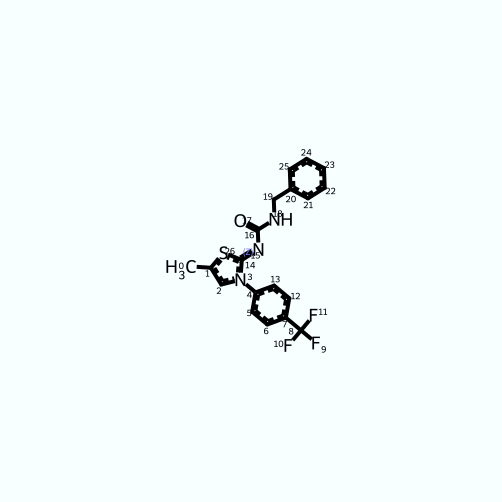 Cc1cn(-c2ccc(C(F)(F)F)cc2)/c(=N/C(=O)NCc2ccccc2)s1